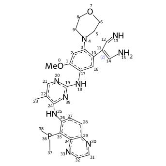 COc1cc(N2CCOCC2)c(/C(C=N)=C/N)cc1Nc1ncc(C)c(Nc2ccc3nccnc3c2P(C)C)n1